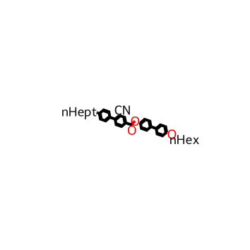 CCCCCCCc1ccc(-c2ccc(C(=O)Oc3ccc(-c4ccc(OCCCCCC)cc4)cc3)cc2C#N)cc1